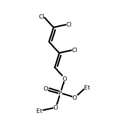 CCOP(=O)(OC=C(Cl)C=C(Cl)Cl)OCC